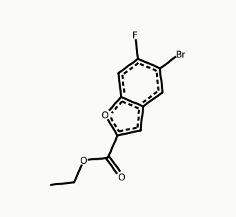 CCOC(=O)c1cc2cc(Br)c(F)cc2o1